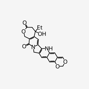 CCC1(O)CC(=O)OCc2c1cc1n(c2=O)CC2=C1Nc1cc3c(cc1=C2)OCOC=3